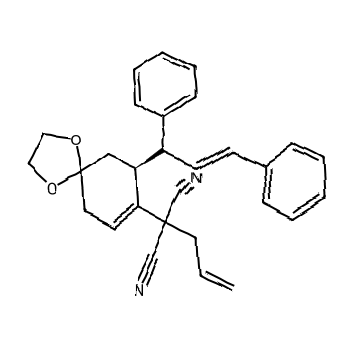 C=CCC(C#N)(C#N)C1=CCC2(C[C@H]1C(/C=C/c1ccccc1)c1ccccc1)OCCO2